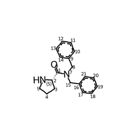 O=C([C@@H]1CCCN1)N(Cc1ccccc1)Cc1ccccc1